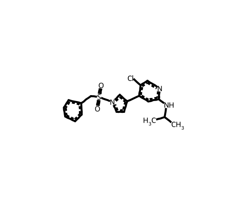 CC(C)Nc1cc(-c2ccn(S(=O)(=O)Cc3ccccc3)c2)c(Cl)cn1